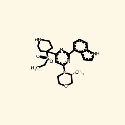 CCS(=O)(=O)C1(c2cc(N3CCOC[C@H]3C)nc(-c3cccc4[nH]ccc34)n2)CCNCC1